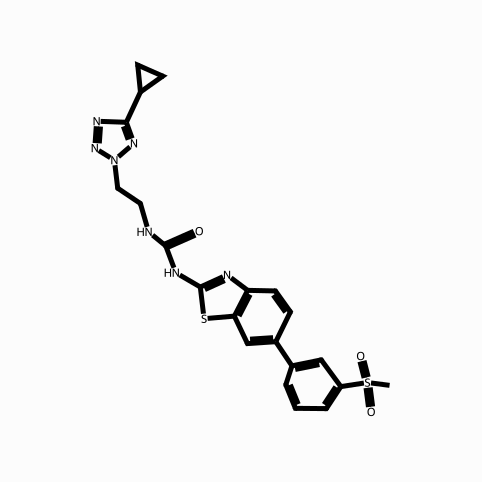 CS(=O)(=O)c1cccc(-c2ccc3nc(NC(=O)NCCn4nnc(C5CC5)n4)sc3c2)c1